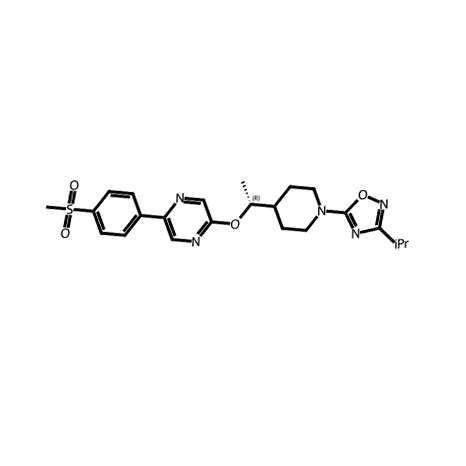 CC(C)c1noc(N2CCC([C@@H](C)Oc3cnc(-c4ccc(S(C)(=O)=O)cc4)cn3)CC2)n1